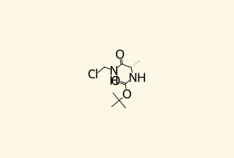 C[C@H](NC(=O)OC(C)(C)C)C(=O)NCCl